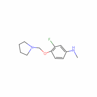 CNc1ccc(OCN2CCCC2)c(F)c1